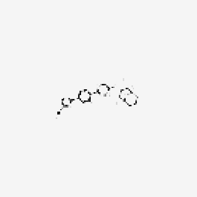 CN(c1cnc(-c2ccc(-c3nc(C#N)cs3)cc2O)nn1)[C@H]1C[C@@H]2CCC[C@@](C)(N2)[C@H]1F